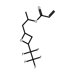 C=CC(=O)OC(C)CC1CC(C(F)(F)C(F)(F)F)O1